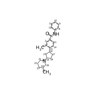 Cc1cc(C(=O)Nc2ccccc2)ccc1C1CCC(N2CCCC(C)C2)C1